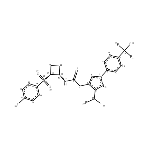 O=C(Cc1cn(-c2cnc(C(F)(F)F)nc2)nc1C(F)F)N[C@@H]1CC[C@@H]1S(=O)(=O)c1ccc(F)cc1